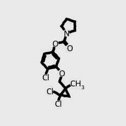 CC1(COc2cc(OC(=O)N3CCCC3)ccc2Cl)CC1(Cl)Cl